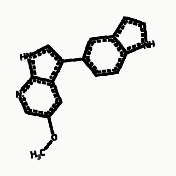 COc1cnc2[nH]cc(-c3ccc4[nH]ccc4c3)c2c1